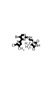 Cc1cc(-c2nc(NCCN3C(=O)NC(=O)C3(C)C)ncc2Br)sc1Cl